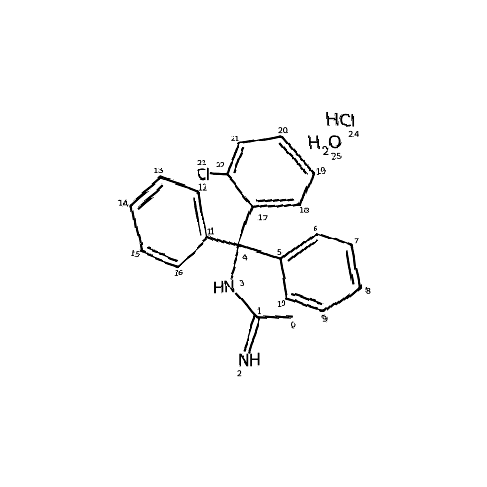 CC(=N)NC(c1ccccc1)(c1ccccc1)c1ccccc1Cl.Cl.O